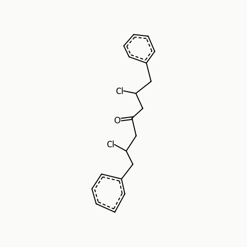 O=C(CC(Cl)Cc1ccccc1)CC(Cl)Cc1ccccc1